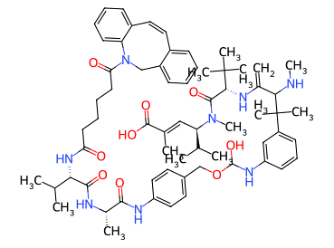 C=C(N[C@H](C(=O)N(C)[C@H](/C=C(\C)C(=O)O)C(C)C)C(C)(C)C)C(NC)C(C)(C)c1cccc(NC(O)OCc2ccc(NC(=O)[C@H](C)NC(=O)[C@@H](NC(=O)CCCCC(=O)N3Cc4ccccc4/C=C\c4ccccc43)C(C)C)cc2)c1